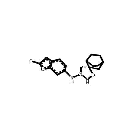 Fc1cc2ccc(NN3C[C@]4(CC5CCC4CC5)ON3)cc2o1